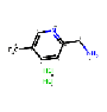 Cl.Cl.NCc1ccc(C(F)(F)F)cn1